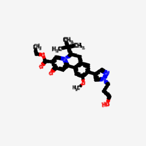 CCOC(=O)c1cn2c(cc1=O)-c1cc(OC)c(-c3cnn(CCCO)c3)cc1CC2C(C)(C)C